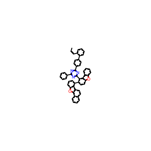 C/C=C\c1ccccc1-c1ccc(-c2nc(-c3ccccc3)nc(-c3c(-c4cccc5oc6c7ccccc7ccc6c45)ccc4oc5ccccc5c34)n2)cc1